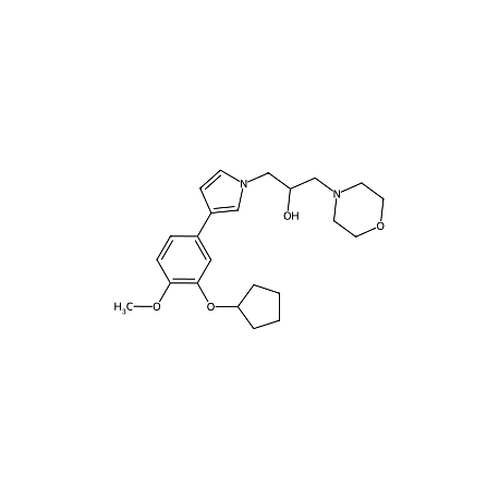 COc1ccc(-c2ccn(CC(O)CN3CCOCC3)c2)cc1OC1CCCC1